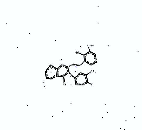 COc1cccc(/C=C/c2nc3ccccc3c(=O)n2-c2ccc(F)c(C(F)(F)F)c2)c1O